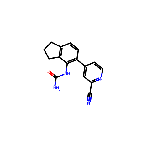 N#Cc1cc(-c2ccc3c(c2NC(N)=O)CCC3)ccn1